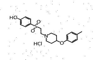 Cc1ccc(OC2CCN(CCS(=O)(=O)c3ccc(O)cc3)CC2)cc1.Cl